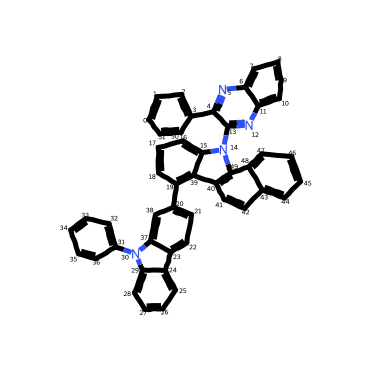 c1ccc(-c2nc3ccccc3nc2-n2c3cccc(-c4ccc5c6ccccc6n(-c6ccccc6)c5c4)c3c3ccc4ccccc4c32)cc1